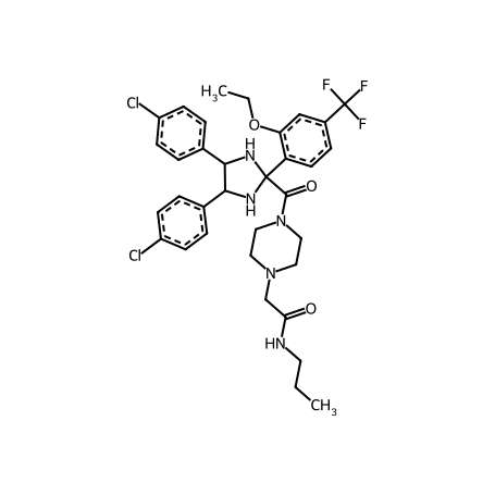 CCCNC(=O)CN1CCN(C(=O)C2(c3ccc(C(F)(F)F)cc3OCC)NC(c3ccc(Cl)cc3)C(c3ccc(Cl)cc3)N2)CC1